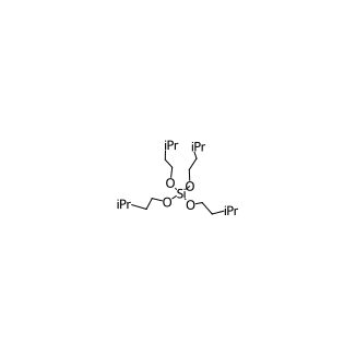 CC(C)CCO[Si](OCCC(C)C)(OCCC(C)C)OCCC(C)C